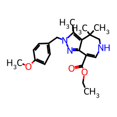 CCOC(=O)C1=CNCC(C)(C)c2c1nn(Cc1ccc(OC)cc1)c2C